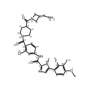 COc1ccc(-c2cnc(C(=O)Nc3ccc(C(=O)N4CCC(C(=O)N5CC(CN)C5)CC4)c(Cl)c3)n2C)c(F)c1F